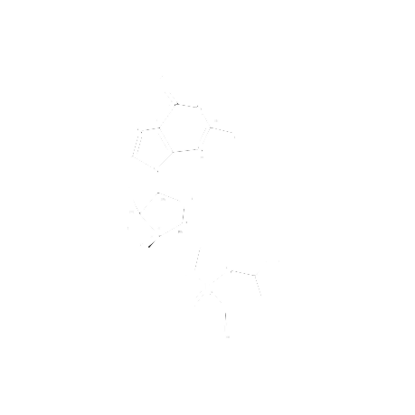 CCOC(=O)C(C)NP(=O)(OC[C@H]1O[C@@H](n2cnc3c(=O)[nH]c(C)nc32)[C@](C)(O)[C@@H]1O)SCC